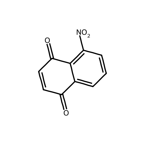 O=C1C=CC(=O)c2c1cccc2[N+](=O)[O-]